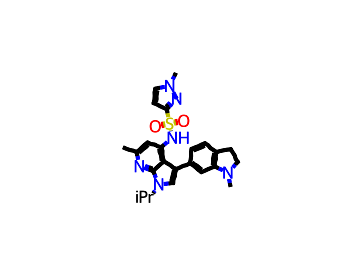 Cc1cc(NS(=O)(=O)c2ccn(C)n2)c2c(-c3ccc4c(c3)N(C)CC4)cn(C(C)C)c2n1